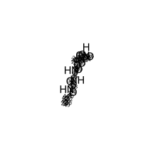 C/C(=C\C(=O)Nc1cccc(C(=O)NCCCCNC(=O)COc2cccc3c2C(=O)N(C2CCC(=O)NC2=O)C3=O)c1)c1ccc2ccccc2c1